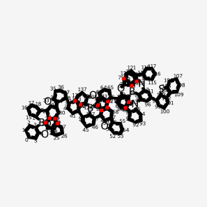 c1ccc2c(c1)Oc1ccccc1B2c1ccccc1-c1c2oc3ccccc3c2cc2c1oc1cccc(-c3ccc(-c4cccc(-c5c6oc7ccccc7c6cc6c5oc5cccc(-c7cccc8c7Oc7ccccc7B8c7c(-n8c9ccccc9c9ccccc98)cc(-c8cccc9c8sc8ccccc89)cc7-n7c8ccccc8c8ccccc87)c56)c4B4c5ccccc5Oc5ccccc54)cc3)c12